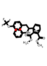 COC(=O)C1=C(C(=O)OC)C2(C(Cc3ccc(OC(F)(F)F)cc3)Nc3ccccc3)C=CC1O2